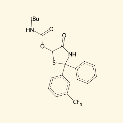 CC(C)(C)NC(=O)OC1SC(c2ccccc2)(c2cccc(C(F)(F)F)c2)NC1=O